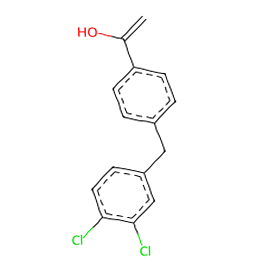 C=C(O)c1ccc(Cc2ccc(Cl)c(Cl)c2)cc1